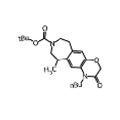 CCCCN1C(=O)COc2cc3c(cc21)C(C)CN(C(=O)OC(C)(C)C)CC3